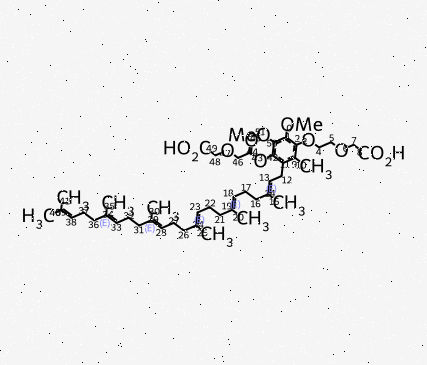 COc1c(OCCOCC(=O)O)c(C)c(C/C=C(\C)CC/C=C(\C)CC/C=C(\C)CC/C=C(\C)CC/C=C(\C)CCC=C(C)C)c(OC(=O)COCC(=O)O)c1OC